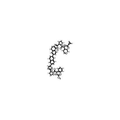 COC(=O)NC(C(=O)N1CCCC1c1ncc(-c2ccc3cc(-c4ccc5c(c4)CCc4nc(C6CCCN6C(=O)C(NC(=O)C6CC6)C6CCOCC6)[nH]c4-5)ccc3c2)[nH]1)c1ccccc1